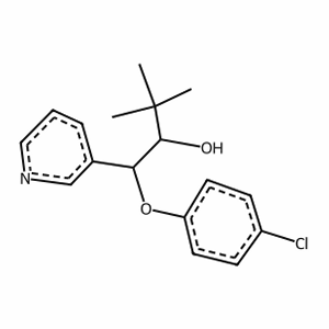 CC(C)(C)C(O)C(Oc1ccc(Cl)cc1)c1cccnc1